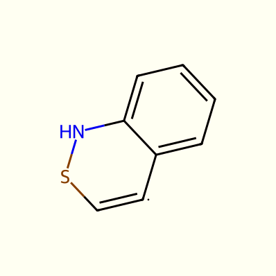 [C]1=CSNc2ccccc21